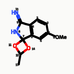 COc1ccc2c(c1)C1(NC2=N)OC(C)O1